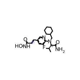 CC(C)[C@H](C(N)=O)N(CC1CCCCC1)c1ncc(/C=C/C(=O)NO)cc1F